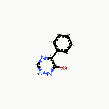 Brc1nncnc1-c1ccccc1